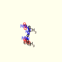 COc1cc(OC)c2c(=O)[nH]c(-c3ccc(N4CCC(N(C)Cc5ccccc5NC5CCC(=O)NC5=O)CC4)cc3)nc2c1